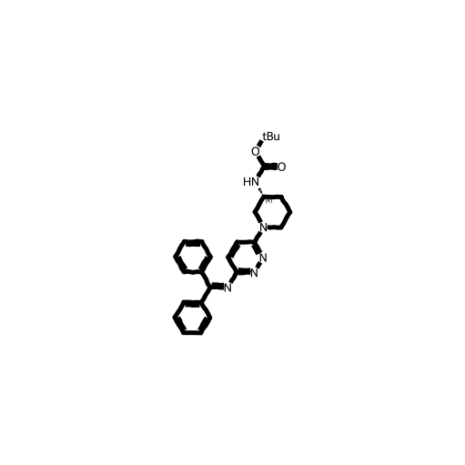 CC(C)(C)OC(=O)N[C@@H]1CCCN(c2ccc(N=C(c3ccccc3)c3ccccc3)nn2)C1